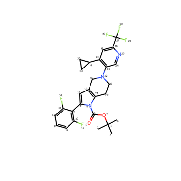 CC(C)(C)OC(=O)n1c(-c2c(F)cccc2F)cc2c1CCN(c1cnc(C(F)(F)F)cc1C1CC1)C2